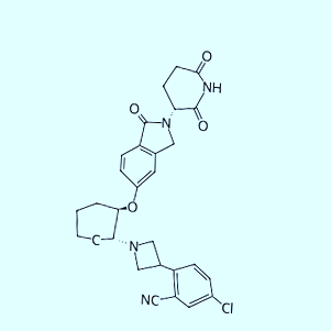 N#Cc1cc(Cl)ccc1C1CN([C@@H]2CCCC[C@H]2Oc2ccc3c(c2)CN([C@@H]2CCC(=O)NC2=O)C3=O)C1